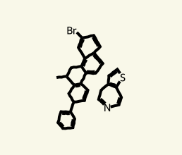 C1=Cc2sccc2CC=N1.CC1Cc2c(ccc3ccc(Br)cc23)C2=C1CC(c1ccccc1)C=C2